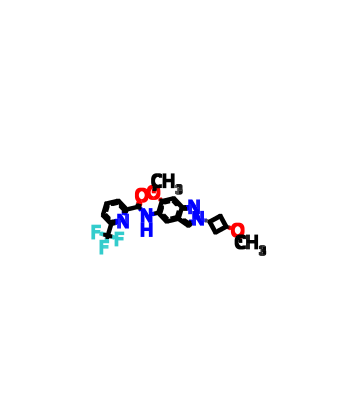 COc1cc2nn([C@H]3C[C@H](OC)C3)cc2cc1NC(=O)c1cccc(C(F)(F)F)n1